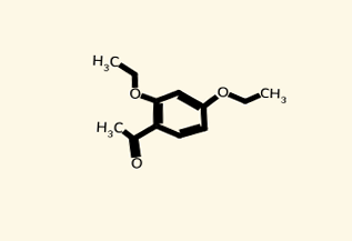 CCOc1ccc(C(C)=O)c(OCC)c1